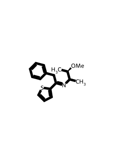 CO[C@H](C)C(C)/N=C(\Cc1ccccc1)c1cccs1